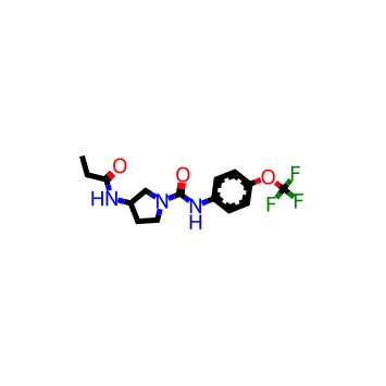 CCC(=O)NC1CCN(C(=O)Nc2ccc(OC(F)(F)F)cc2)C1